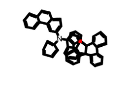 c1ccc(N(c2ccc3ccc4ccccc4c3c2)c2ccc3c4c(cccc24)C24c5ccccc5-c5ccccc5C32c2ccccc2-c2ccccc24)cc1